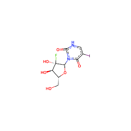 O=c1[nH]cc(I)c(=O)n1C1O[C@H](CO)[C@@H](O)[C@@]1(O)F